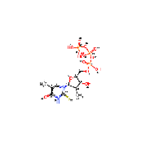 Cc1cn([C@H]2O[C@@H](COP(=O)(O)OP(=O)(O)OP(=O)(O)O)[C@@H](O)C2C)c(=S)[nH]c1=O